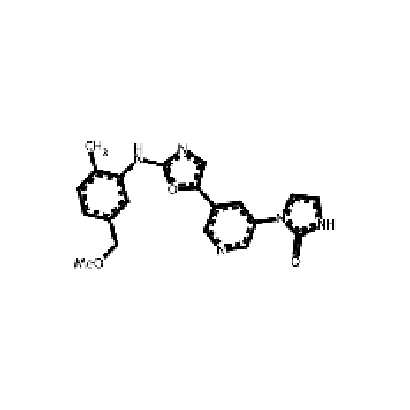 COCc1ccc(C)c(Nc2ncc(-c3cncc(-n4cc[nH]c4=O)c3)o2)c1